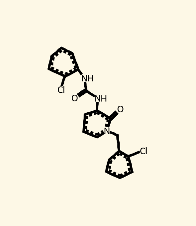 O=C(Nc1ccccc1Cl)Nc1cccn(Cc2ccccc2Cl)c1=O